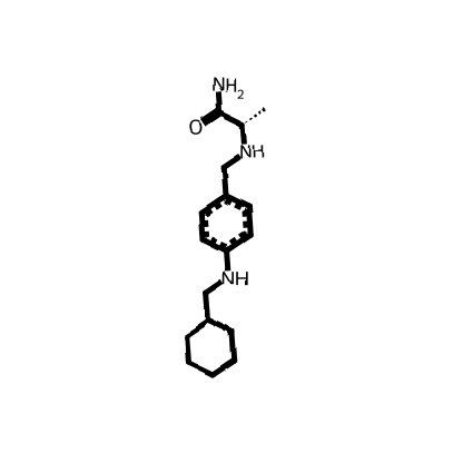 C[C@H](NCc1ccc(NCC2CCCCC2)cc1)C(N)=O